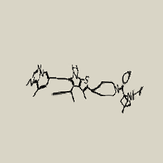 Cc1c(C2CCN(C(=O)C34CC(C)(CN3)C4)CC2)sc2[nH]c(-c3cc(C)c4ncnn4c3)c(C(C)C)c12